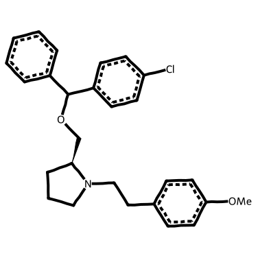 COc1ccc(CCN2CCC[C@H]2COC(c2ccccc2)c2ccc(Cl)cc2)cc1